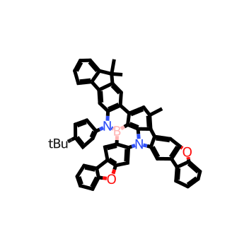 Cc1cc2c3c4c1c1cc5oc6ccccc6c5cc1n4-c1cc4oc5ccccc5c4cc1B3N(c1ccc(C(C)(C)C)cc1)c1cc3c(cc1-2)C(C)(C)c1ccccc1-3